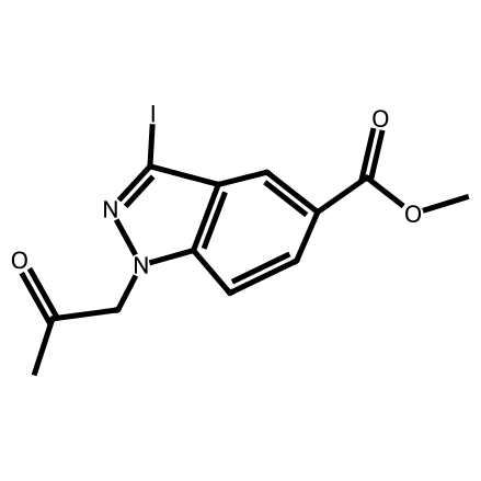 COC(=O)c1ccc2c(c1)c(I)nn2CC(C)=O